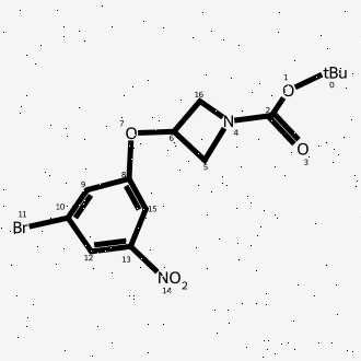 CC(C)(C)OC(=O)N1CC(Oc2cc(Br)cc([N+](=O)[O-])c2)C1